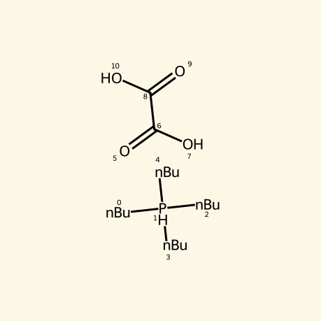 CCCC[PH](CCCC)(CCCC)CCCC.O=C(O)C(=O)O